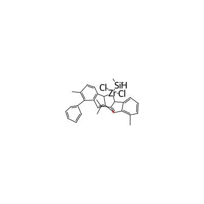 CC1=Cc2c(ccc(C)c2-c2ccccc2)[CH]1[Zr]([Cl])([Cl])([CH]1C(C(C)C)=Cc2c(C)cccc21)[SiH](C)C